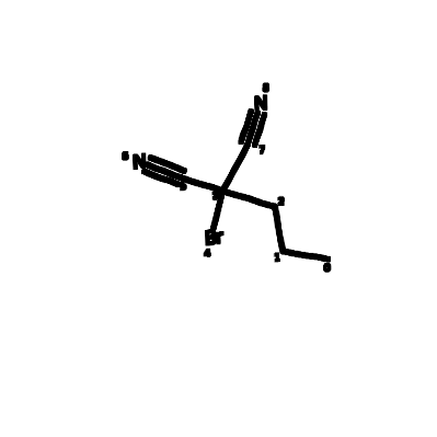 CCCC(Br)(C#N)C#N